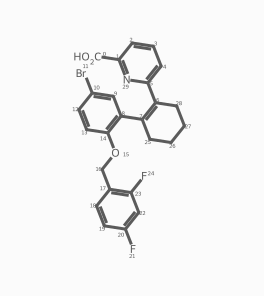 O=C(O)c1cccc(C2=C(c3cc(Br)ccc3OCc3ccc(F)cc3F)CCCC2)n1